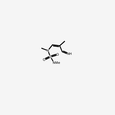 CNS(=O)(=O)N(C)/C=C(/C)C=N